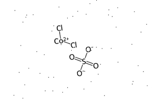 O=S(=O)([O-])[O-].[Cl][Co+2][Cl]